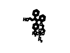 CC1(C)OCC(COc2ccccc2/C(=C(/CCO)c2ccccc2)c2ccc(Cl)cc2)O1